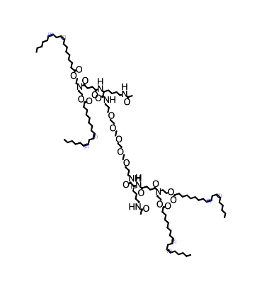 CCCCC/C=C\C/C=C\CCCCCCCC(=O)OCCN(CCOC(=O)CCCCCCC/C=C\C/C=C\CCCCC)C(=O)CCC(=O)NC(CCCCNC(C)=O)C(=O)NCCCOCCOCCOCCOCCOCCCNC(=O)[C@H](CCCCNC(C)=O)NC(=O)CCC(=O)N(CCOC(=O)CCCCCCC/C=C\C/C=C\CCCCC)CCOC(=O)CCCCCCC/C=C\C/C=C\CCCCC